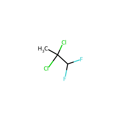 CC(Cl)(Cl)C(F)F